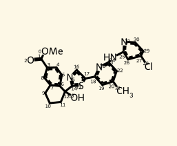 COC(=O)c1ccc2c(c1)CCCC2(O)c1ncc(-c2cc(C)cc(Nc3cc(Cl)ccn3)n2)s1